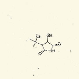 CCC(C)(C)C1C(=O)NC(=O)C1C(C)(C)C